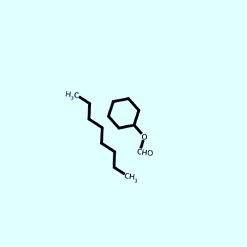 CCCCCCCC.O=COC1CCCCC1